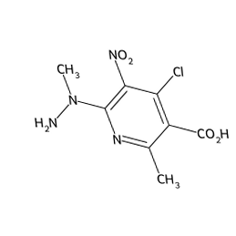 Cc1nc(N(C)N)c([N+](=O)[O-])c(Cl)c1C(=O)O